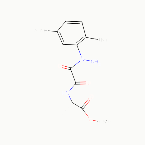 COOC(=O)[C@H](C)NC(=O)C(=O)N(N)c1cc(NC(C)=O)ccc1C(C)(C)C